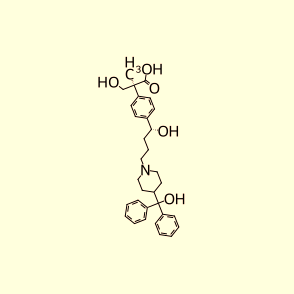 C[C@](CO)(C(=O)O)c1ccc([C@H](O)CCCN2CCC(C(O)(c3ccccc3)c3ccccc3)CC2)cc1